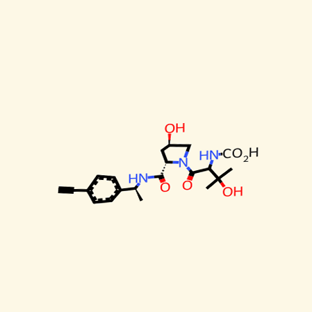 C#Cc1ccc([C@H](C)NC(=O)[C@@H]2C[C@@H](O)CN2C(=O)C(NC(=O)O)C(C)(C)O)cc1